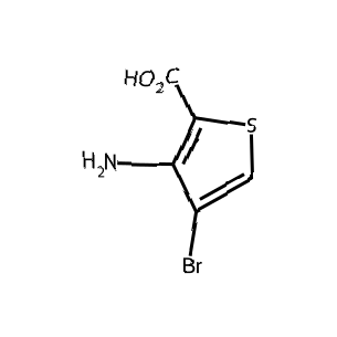 Nc1c(Br)csc1C(=O)O